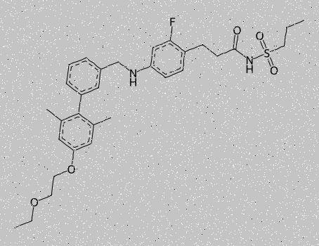 CCCS(=O)(=O)NC(=O)CCc1ccc(NCc2cccc(-c3c(C)cc(OCCOCC)cc3C)c2)cc1F